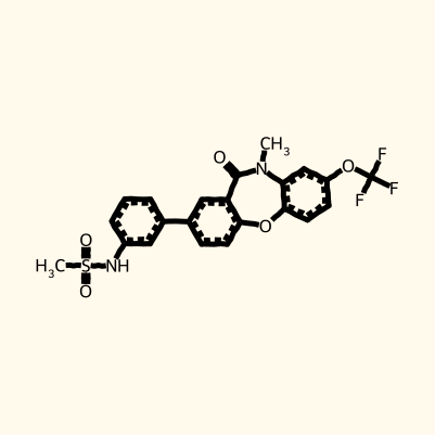 CN1C(=O)c2cc(-c3cccc(NS(C)(=O)=O)c3)ccc2Oc2ccc(OC(F)(F)F)cc21